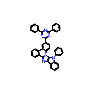 c1ccc(-c2nc(-c3ccccc3)nc(-c3ccc4c(c3)c3ccccc3c3nc5c6ccccc6n(-c6ccccc6)c5n43)n2)cc1